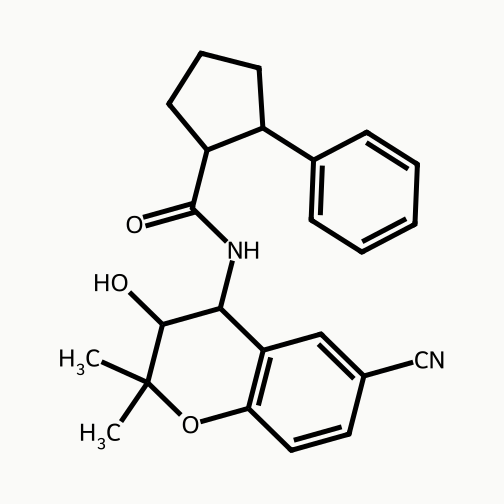 CC1(C)Oc2ccc(C#N)cc2C(NC(=O)C2CCCC2c2ccccc2)C1O